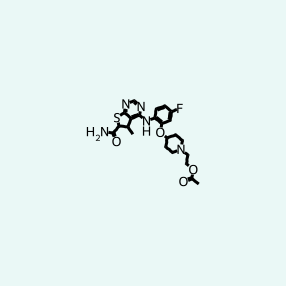 CC(=O)OCCN1CCC(Oc2cc(F)ccc2Nc2ncnc3c2C(C)C(C(N)=O)S3)CC1